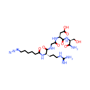 [N-]=[N+]=NCCCCCC(=O)N[C@@H](CCCNC(=N)N)C(=O)NCC(=O)N[C@@H](CC(=O)O)C(=O)N[C@@H](CO)C(N)=O